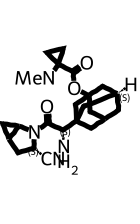 CNC1(C(=O)OC23CC4C[C@H](C2)CC([C@H](N)C(=O)N2C5CC5C[C@H]2C#N)(C4)C3)CC1